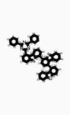 c1ccc(-c2nc(-c3ccccc3)nc(-c3cccc4sc5c(-c6ccc(-c7cccc8oc9ccccc9c78)c7c6sc6ccccc67)cccc5c34)n2)cc1